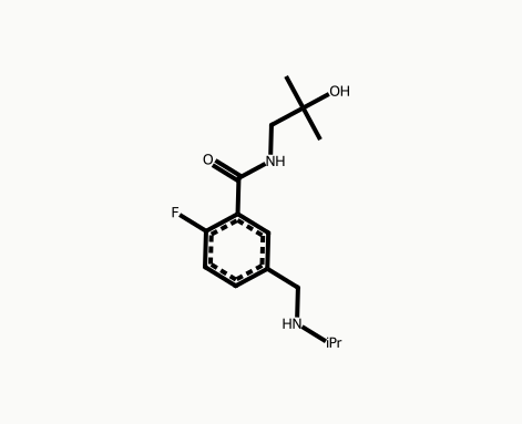 CC(C)NCc1ccc(F)c(C(=O)NCC(C)(C)O)c1